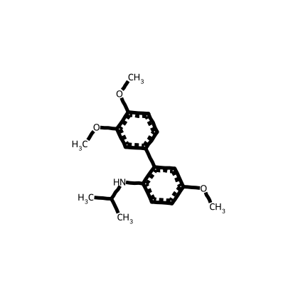 COc1ccc(NC(C)C)c(-c2ccc(OC)c(OC)c2)c1